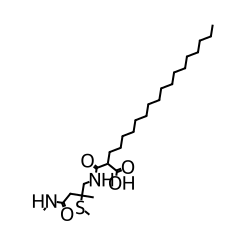 CCCCCCCCCCCCCCCCCC(C(=O)O)C(=O)NCC(C)(CC(=O)NC)SC